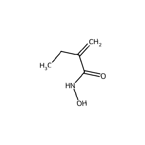 C=C(CC)C(=O)NO